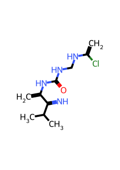 C=C(Cl)NCNC(=O)NC(=C)C(=N)C(C)C